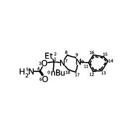 CCCCC(CC)(OC(N)=O)N1CCN(c2ccccc2)CC1